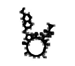 COc1ccc2ncc(O[C@@H]3C[C@H]4C(=O)N[C@]5(C(=O)NS(=O)(=O)C6CC6)C[C@@H]5/C=C\[C@H](C)CCC[C@@H](C)CC(=O)N4C3)nc2c1